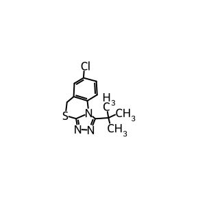 CC(C)(C)c1nnc2n1-c1ccc(Cl)cc1CS2